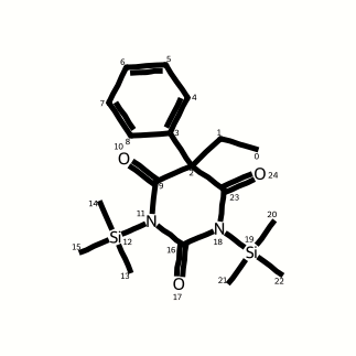 CCC1(c2ccccc2)C(=O)N([Si](C)(C)C)C(=O)N([Si](C)(C)C)C1=O